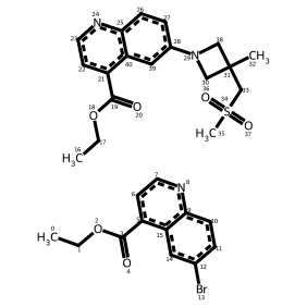 CCOC(=O)c1ccnc2ccc(Br)cc12.CCOC(=O)c1ccnc2ccc(N3CC(C)(CS(C)(=O)=O)C3)cc12